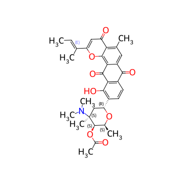 C/C=C(\C)c1cc(=O)c2c(C)cc3c(c2o1)C(=O)c1c(ccc([C@H]2C[C@](C)(N(C)C)[C@H](OC(C)=O)[C@H](C)O2)c1O)C3=O